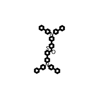 O=c1c2ccc(-c3ccc(N(c4ccc(-c5ccccc5)cc4)c4ccc(-c5ccccc5)cc4)cc3)cc2sc2ccc(-c3ccc(N(c4ccc(-c5ccccc5)cc4)c4ccc(-c5ccccc5)cc4)cc3)cc12